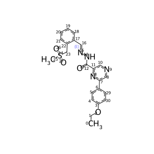 CCOc1ccc(-c2cncc(C(=O)N/N=C/c3ccccc3CS(C)(=O)=O)n2)cc1